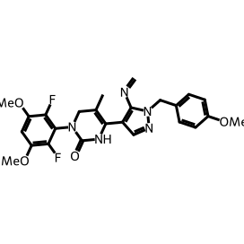 C=Nc1c(C2=C(C)CN(c3c(F)c(OC)cc(OC)c3F)C(=O)N2)cnn1Cc1ccc(OC)cc1